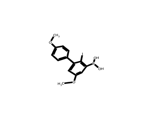 COc1ccc(-c2cc(OC)cc(B(O)O)c2I)cc1